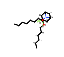 CCCCCCCC(CCCCCCC)N1C2CC1CC(F)(F)C2